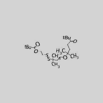 CC(C)(CCC(=O)C(C)(C)C)OCCC(C)(C)SSCCOC(=O)C(C)(C)C